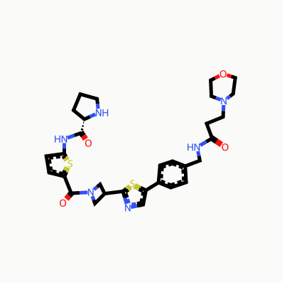 O=C(CCN1CCOCC1)NCc1ccc(-c2cnc(C3CN(C(=O)c4ccc(NC(=O)[C@@H]5CCCN5)s4)C3)s2)cc1